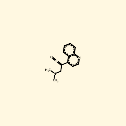 CN(C)CC(=C=O)c1ccnc2ccccc12